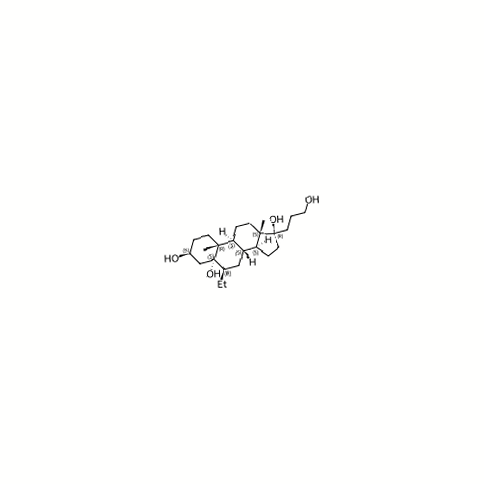 CC[C@@H]1C[C@H]2[C@@H]3CC[C@@](O)(CCCO)[C@@]3(C)CC[C@@H]2[C@@]2(C)CC[C@H](O)C[C@]12O